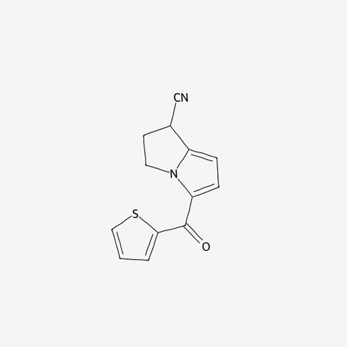 N#CC1CCn2c(C(=O)c3cccs3)ccc21